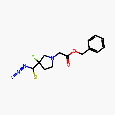 [N-]=[N+]=NC(S)C1(F)CCN(CC(=O)OCc2ccccc2)C1